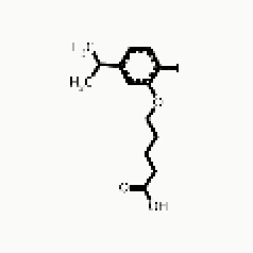 CC(C)c1ccc(F)c(OCCCCC(=O)O)c1